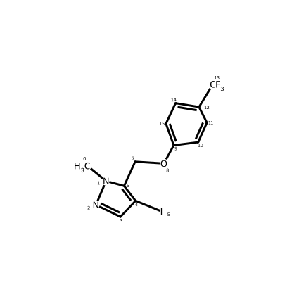 Cn1ncc(I)c1COc1ccc(C(F)(F)F)cc1